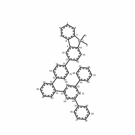 C[Si]1(C)c2ccccc2-c2cc(-c3ccc(-c4ccccc4-c4nc(-c5ccccc5)nc(-c5ccccc5)n4)cc3)ccc21